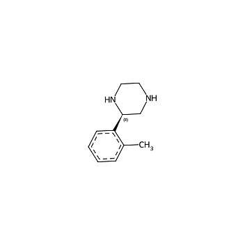 Cc1ccccc1[C@@H]1CNCCN1